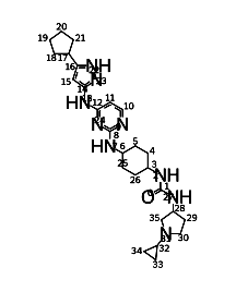 O=C(NC1CCC(Nc2nccc(Nc3cc(C4CCCC4)[nH]n3)n2)CC1)NC1CCN(C2CC2)C1